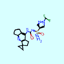 NS(=O)(=NC(=O)Nc1c2c(nc3c1CCC31CC1)CCC2)c1cnn(C(F)F)c1